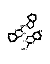 CSC1=Nc2ccccc2CN1.I.c1ccc2c(c1)CNC(N[C@@H]1CCc3ccccc31)=N2